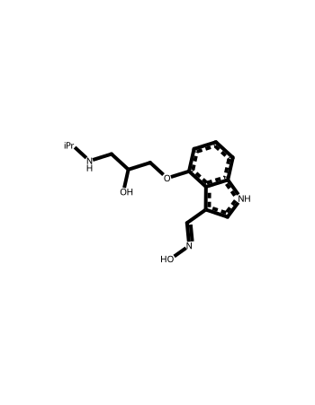 CC(C)NCC(O)COc1cccc2[nH]cc(C=NO)c12